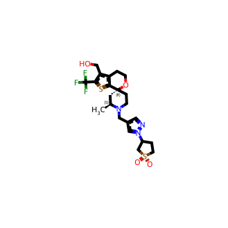 C[C@H]1C[C@@]2(CCN1Cc1cnn(C3CCS(=O)(=O)C3)c1)OCCc1c2sc(C(F)(F)F)c1CO